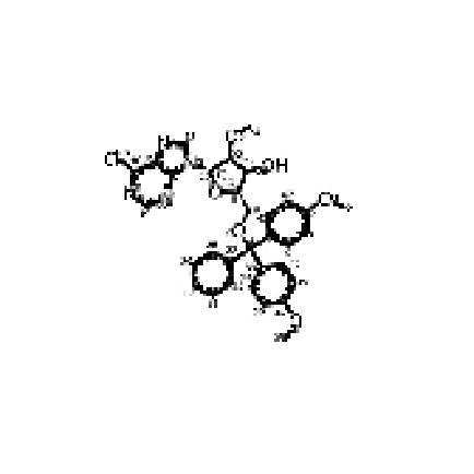 COc1ccc(C(OC[C@H]2O[C@@H](n3cnc4c(Cl)ncnc43)C(OC)C2O)(c2ccccc2)c2ccc(OC)cc2)cc1